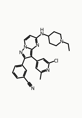 CCN1CCC(Nc2ccn3nc(-c4cccc(C#N)c4)c(-c4cc(C)nc(Cl)c4)c3n2)CC1